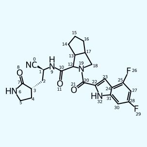 N#C[C@H](C[C@@H]1CCNC1=O)NC(=O)C1C2CCCC2CN1C(=O)c1cc2c(F)cc(F)cc2[nH]1